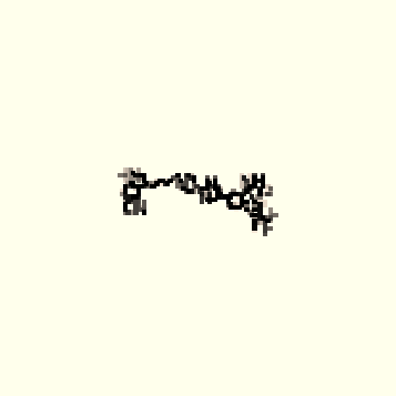 N#Cc1ccc2[nH]cc(CCCCN3CCN(c4ncc(-c5ccc(OCC(F)(F)C(F)F)c(C(N)=O)c5)cn4)CC3)c2c1